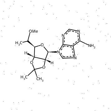 COC(C)[C@H]1O[C@@H](n2cnc3c(N)ncnc32)[C@@H]2OC(C)(C)O[C@@H]21